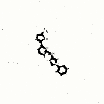 Cc1cnc(-c2ccnc(Nc3cn(-c4ccccc4)cn3)n2)s1